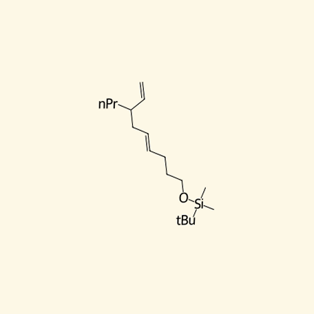 C=CC(C/C=C/CCCO[Si](C)(C)C(C)(C)C)CCC